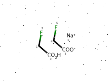 O=C(O)CF.O=C([O-])CF.[Na+]